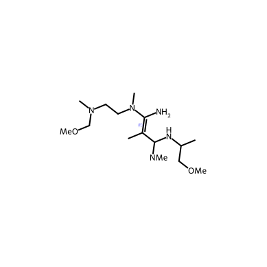 CNC(NC(C)COC)/C(C)=C(\N)N(C)CCN(C)COC